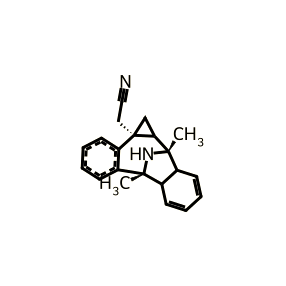 C[C@@]12N[C@@](C)(c3ccccc3[C@@]3(CC#N)CC31)C1C=CC=CC12